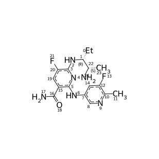 CC[C@@H](Nc1nc(Nc2cnc(C)c(F)c2)c(C(N)=O)cc1F)[C@H](C)N